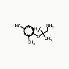 Cc1cc(C#N)ccc1OC(C)(C)CN